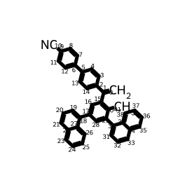 C=C(c1ccc(-c2ccc(C#N)cc2)cc1)c1cc(-c2cccc3ccccc23)cc(-c2cccc3ccccc23)c1C